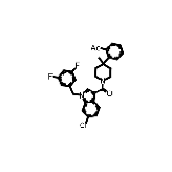 CC(=O)c1ccccc1C1(C)CCN(C(=O)c2cn(Cc3cc(F)cc(F)c3)c3cc(Cl)ccc23)CC1